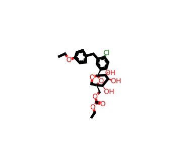 CCOC(=O)OC[C@@]12CO[C@@](c3ccc(Cl)c(Cc4ccc(OCC)cc4)c3)(O1)[C@H](O)[C@@H](O)[C@@H]2O